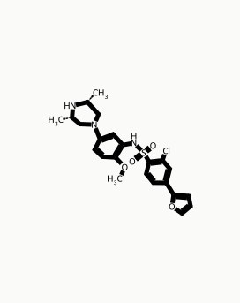 COc1ccc(N2C[C@@H](C)N[C@@H](C)C2)cc1NS(=O)(=O)c1ccc(-c2ccco2)cc1Cl